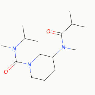 CC(C)C(=O)N(C)C1CCCN(C(=O)N(C)C(C)C)C1